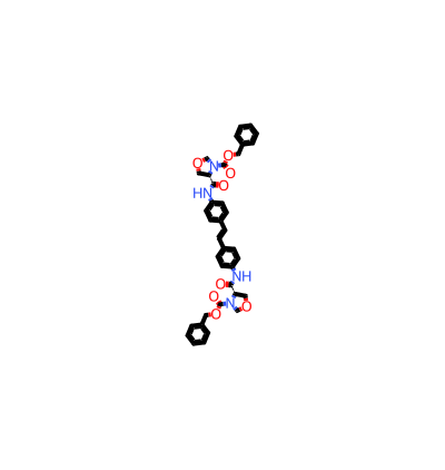 O=C(Nc1ccc(/C=C/c2ccc(NC(=O)[C@@H]3COCN3C(=O)OCc3ccccc3)cc2)cc1)[C@@H]1COCN1C(=O)OCc1ccccc1